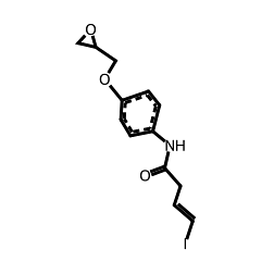 O=C(CC=CI)Nc1ccc(OCC2CO2)cc1